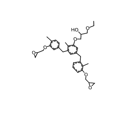 CCOCC(O)COc1cc(Cc2cccc(OCC3CO3)c2C)cc(Cc2ccc(C)c(OCC3CO3)c2)c1C